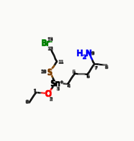 CC[O][Sn+]([CH2]CCC(C)N)[S]CC.[Br-]